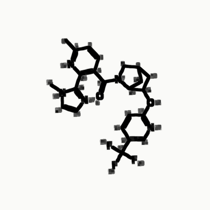 Cc1ccc(C(=O)N2CC3CC(Oc4ccc(C(F)(F)F)cn4)C2C3)c(-c2nccn2C)n1